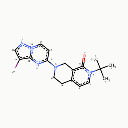 CC(C)(C)n1ccc2c(c1=O)CN(c1ccn3ncc(I)c3n1)CC2